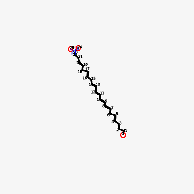 O=[C]CCC=CCC=CC=CC=CC=CCC=CCC=CCC[N+](=O)[O-]